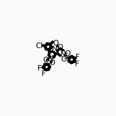 Cc1cc(Cl)cc2c1[N+](C1CCN(S(=O)(=O)c3ccc(F)c(F)c3)CC1)(C1CCN(S(=O)(=O)c3ccc(F)c(F)c3)CC1)C(=O)OC2